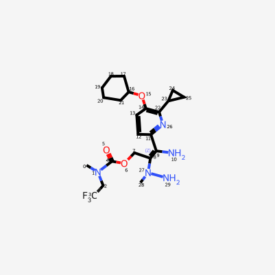 CN(CC(F)(F)F)C(=O)OC/C(=C(/N)c1ccc(OC2CCCCC2)c(C2CC2)n1)N(C)N